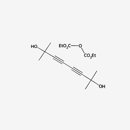 CC(C)(O)C#CC#CC(C)(C)O.CCOC(=O)OC(=O)OCC